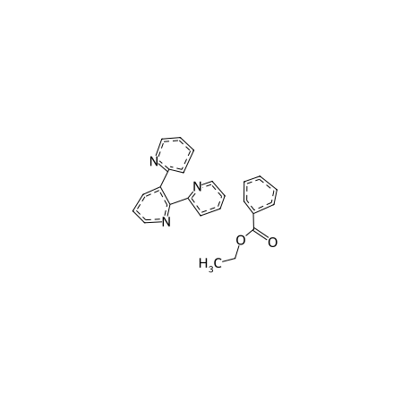 CCOC(=O)c1ccccc1.c1ccc(-c2cccnc2-c2ccccn2)nc1